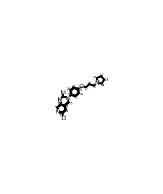 CCC1N=c2cnc(Cl)cc2=CN1c1ccc(OCCCN2CCCC2)cc1